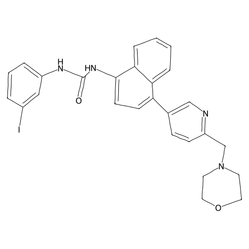 O=C(Nc1cccc(I)c1)Nc1ccc(-c2ccc(CN3CCOCC3)nc2)c2ccccc12